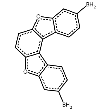 Bc1ccc2c(c1)oc1ccc3oc4cc(B)ccc4c3c12